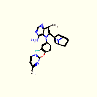 Cc1ccnc(Oc2ccc(-n3c(C4=CC5CCC(C4)N5)c(C)c4ncnc(N)c43)cc2F)n1